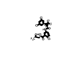 O=C(NCC(O)C(F)(F)F)c1cc(NC(=O)[C@@H]2[C@@H](c3cc(Cl)cc(Cl)c3)C2(Cl)Cl)ccc1Cl